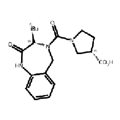 CC[C@H](C)[C@H]1C(=O)Nc2ccccc2CN1C(=O)N1CC[C@H](C(=O)O)C1